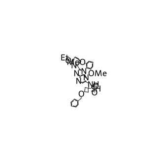 CCOc1cccc(-c2nc3ncc(N[C@]4([SH](=O)=O)C[C@H](OCc5ccccc5)C4)nc3n2-c2c(OC)cccc2OC)n1